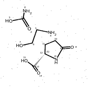 NC(=O)O.NCCO.O=C1CC[C@@H](C(=O)O)N1